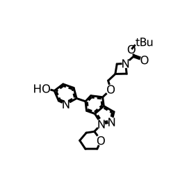 CC(C)(C)OC(=O)N1CC(COc2cc(-c3ccc(O)cn3)cc3c2cnn3C2CCCCO2)C1